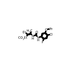 CCOC(=O)/C(CC)=C(/C)NC(=O)Nc1cc(OC(C)C)c(Cl)cc1F